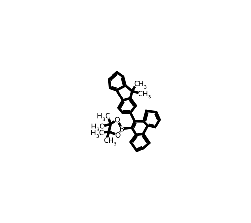 CC1(C)c2ccccc2-c2ccc(-c3c(B4OC(C)(C)C(C)(C)O4)c4ccccc4c4ccccc34)cc21